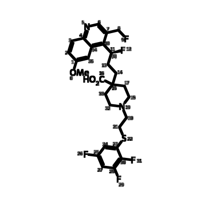 COc1ccc2ncc(CF)c([C@@H](F)CCC3(C(=O)O)CCN(CCSc4cc(F)cc(F)c4F)CC3)c2c1